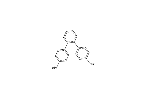 CCCc1ccc(-c2ccccc2-c2ccc(CCC)cc2)cc1